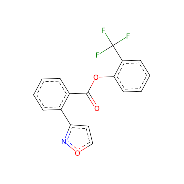 O=C(Oc1ccccc1C(F)(F)F)c1ccccc1-c1ccon1